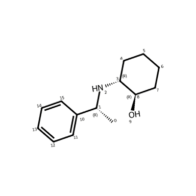 C[C@@H](N[C@@H]1CCCC[C@H]1O)c1ccccc1